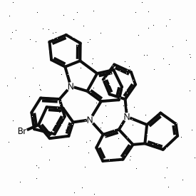 Brc1ccc(N(c2cccc3c4ccccc4n(-c4ccccc4)c23)c2cccc3c4ccccc4n(-c4ccccc4)c23)cc1